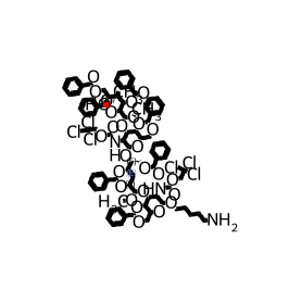 COC(OC1C(NC(=O)OCC(Cl)(Cl)Cl)C(O[C@@H](/C=C/[C@H](OC(=O)c2ccccc2)C(OC)OC2C(NC(=O)OCC(Cl)(Cl)Cl)C(OCCCCCN)OC3COC(c4ccccc4)OC32)COC(=O)c2ccccc2)OC2COC(c3ccccc3)OC21)C(OC(=O)c1ccccc1)C(OC(=O)c1ccccc1)C(C)[C@H](O)COC(=O)c1ccccc1